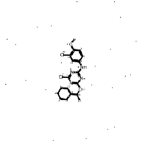 COc1ccc(Nc2nc(Cl)nc(OC(C)C3CCCCC3)n2)cc1Cl